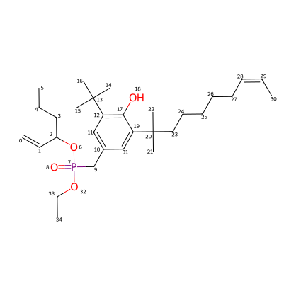 C=CC(CCC)OP(=O)(Cc1cc(C(C)(C)C)c(O)c(C(C)(C)CCCCC/C=C\C)c1)OCC